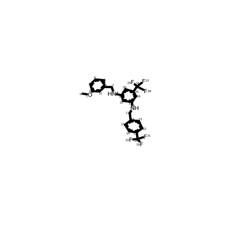 COc1cccc(CNc2cc(NCc3ccc(C(F)(F)F)cc3)cc(C(F)(F)F)c2)c1